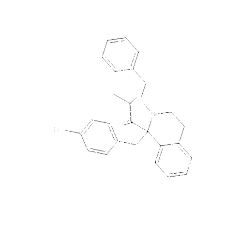 CC(C)C(=O)C1(Cc2ccc(O)cc2)c2ccccc2CCN1OCc1ccccc1